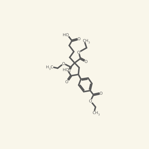 CCOC(=O)c1ccc(C(CC(CCCC(=O)O)(C(=O)OCC)C(=O)OCC)C(=O)O)cc1